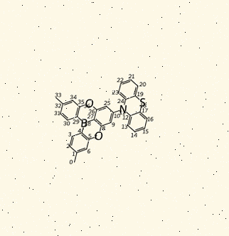 Cc1ccc2c(c1)Oc1cc(N3c4ccccc4Sc4ccccc43)cc3c1B2c1ccc(C)cc1O3